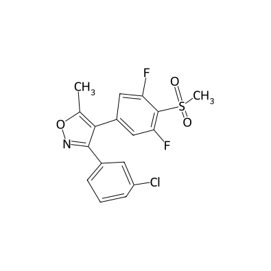 Cc1onc(-c2cccc(Cl)c2)c1-c1cc(F)c(S(C)(=O)=O)c(F)c1